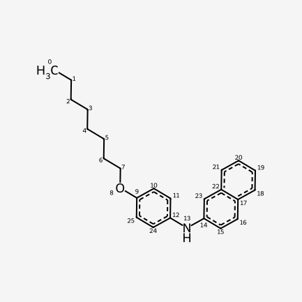 CCCCCCCCOc1ccc(Nc2ccc3ccccc3c2)cc1